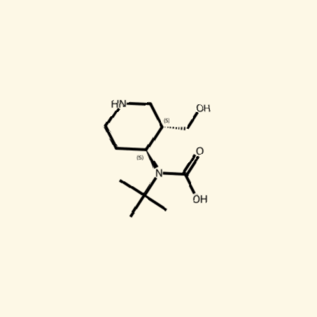 CC(C)(C)N(C(=O)O)[C@H]1CCNC[C@@H]1CO